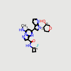 CNc1cc(-c2cn([C@H]3CCOC[C@@H]3O)c3ncccc23)nc2c(C(=O)NC3CC[C@H]3F)cnn12